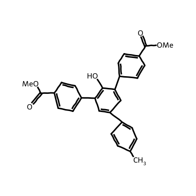 COC(=O)c1ccc(-c2cc(-c3ccc(C)cc3)cc(-c3ccc(C(=O)OC)cc3)c2O)cc1